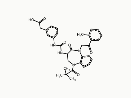 Cc1ccccc1C(=O)CN1C(=O)C(NC(=O)Nc2cccc(CC(O)=S)c2)CN(C(=O)C(C)(C)C)c2ccccc21